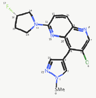 CSn1cc(-c2c(Cl)cnc3ccc(N4CC[C@H](F)C4)nc23)cn1